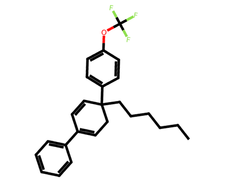 CCCCCCC1(c2ccc(OC(F)(F)F)cc2)C=CC(c2ccccc2)=CC1